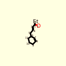 CCC(=O)C=CCC1C=CCCC1